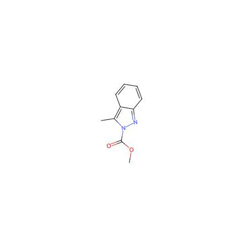 COC(=O)n1nc2ccccc2c1C